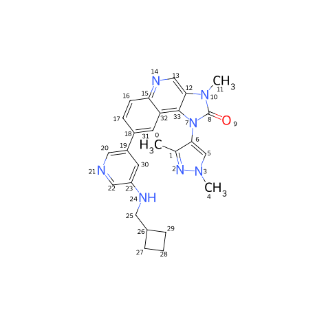 Cc1nn(C)cc1-n1c(=O)n(C)c2cnc3ccc(-c4cncc(NCC5CCC5)c4)cc3c21